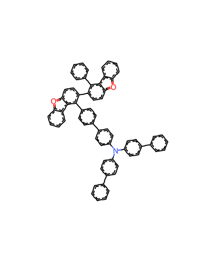 c1ccc(-c2ccc(N(c3ccc(-c4ccccc4)cc3)c3ccc(-c4ccc(-c5c(-c6ccc7oc8ccccc8c7c6-c6ccccc6)ccc6oc7ccccc7c56)cc4)cc3)cc2)cc1